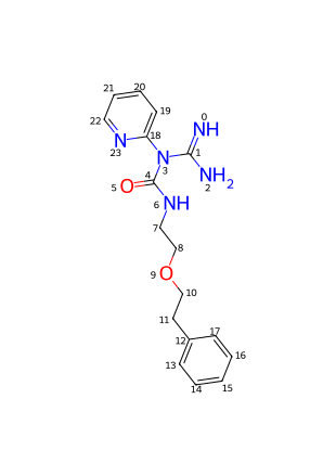 N=C(N)N(C(=O)NCCOCCc1ccccc1)c1ccccn1